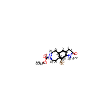 CCCN1C(=O)CCc2cc3c(c(Br)c21)CCN(C(=O)OC(C)(C)C)CC3